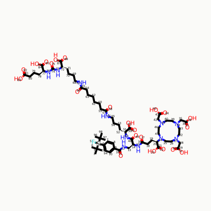 CC(C)(C)[Si](F)(c1ccc(C(=O)NC[C@H](NC(=O)CC[C@H](C(=O)O)N2CCN(CC(=O)O)CCN(CC(=O)O)CCN(CC(=O)O)CC2)C(=O)N[C@H](CCCCNC(=O)CCCCCCC(=O)NCCCC[C@H](NC(=O)N[C@@H](CCCC(=O)O)C(=O)O)C(=O)O)C(=O)O)cc1)C(C)(C)C